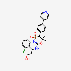 CC1(C)OC(N[C@@H](CCO)c2ccccc2F)=NS(=O)(=O)C1c1ccc(-c2ccncc2)cc1